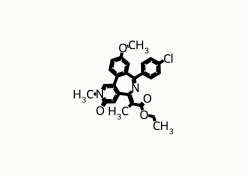 CCOC(=O)/C(C)=C1\N=C(c2ccc(Cl)cc2)c2cc(OC)ccc2-c2cn(C)c(=O)cc21